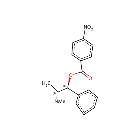 CN[C@H](C)[C@@H](OC(=O)c1ccc([N+](=O)[O-])cc1)c1ccccc1